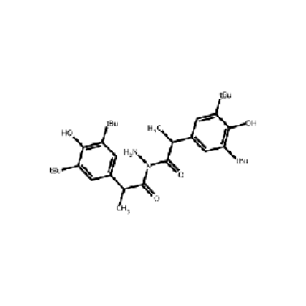 CC(C(=O)N(N)C(=O)C(C)c1cc(C(C)(C)C)c(O)c(C(C)(C)C)c1)c1cc(C(C)(C)C)c(O)c(C(C)(C)C)c1